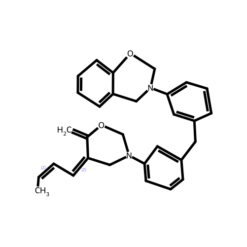 C=C1OCN(c2cccc(Cc3cccc(N4COc5ccccc5C4)c3)c2)C/C1=C/C=C\C